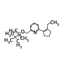 CCC1=C(c2cccc(CO[Si](C)(C)C(C)(C)C)n2)CCC1